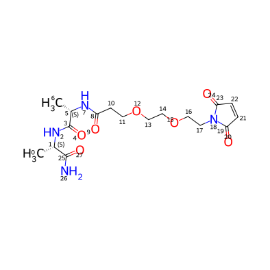 C[C@H](NC(=O)[C@H](C)NC(=O)CCOCCOCCN1C(=O)C=CC1=O)C(N)=O